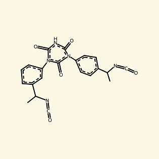 CC(N=C=O)c1ccc(-n2c(=O)[nH]c(=O)n(-c3cccc(C(C)N=C=O)c3)c2=O)cc1